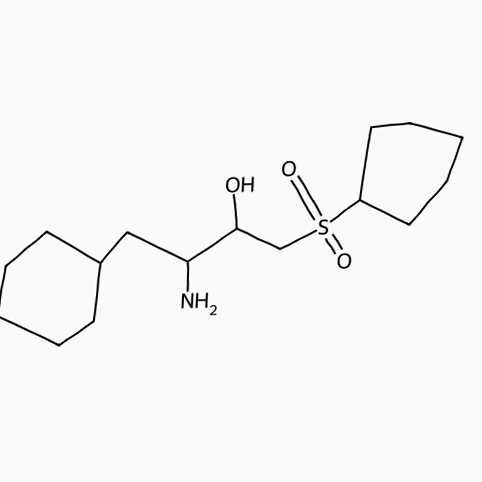 NC(CC1CCCCC1)C(O)CS(=O)(=O)C1CCCCC1